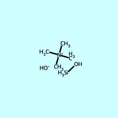 C[N+](C)(C)C.O[SiH3].[OH-]